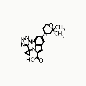 CC1(C)C[C@@H](c2ccc3c(c2)cc(C(=O)O)n3C2(c3nnn[nH]3)CC2)CCO1